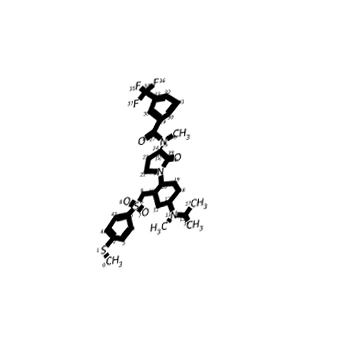 CSc1ccc(S(=O)(=O)CC2CC(N(C)C(C)C)CCC2N2CC[C@H](N(C)C(=O)c3cccc(C(F)(F)F)c3)C2=O)cc1